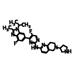 Cc1nc2c(F)cc(-c3nc(Nc4ccc5c(n4)CCN(C4CCNC4)C5)ncc3F)cc2n1C(C)C